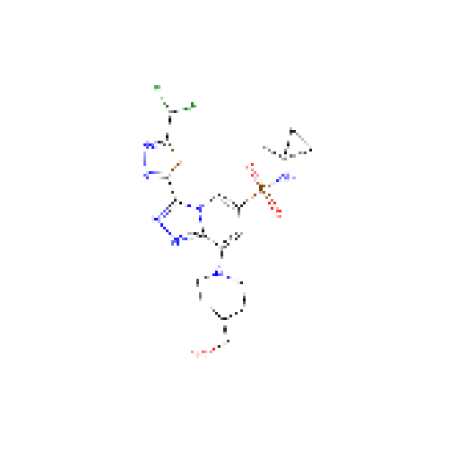 CC1(NS(=O)(=O)c2cc(N3CCC(CO)CC3)c3nnc(-c4nnc(C(F)F)s4)n3c2)CC1